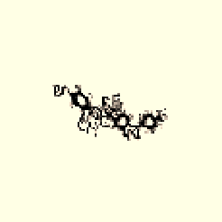 C#Cc1cc(Br)ccc1OCC(O)(c1ccc2c(c1)C=NC2c1ccc(F)cc1)C(F)(F)F